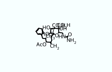 C=C(CCC12OC(CNC(N)=O)C(O)(C(=O)O)C(C(=O)O)(O1)C(O)C2O)C(OC(C)=O)C(C)Cc1ccccc1